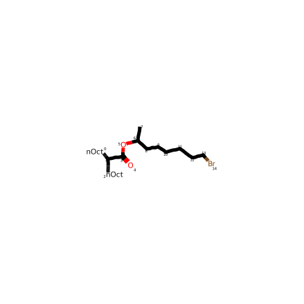 CCCCCCCCC(CCCCCCCC)C(=O)OC(C)CCCCCCBr